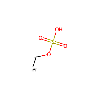 CC(C)[CH]OS(=O)(=O)O